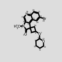 CN1C(=O)C2(CC(OC3CCCCO3)C2)c2c1cnc1ccc(Br)cc21